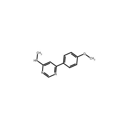 CNc1cc(-c2ccc(OC)cc2)ncn1